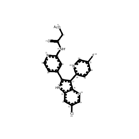 CC(=O)OCC(=O)Nc1cc(-c2[nH]c3cc(Cl)cnc3c2-c2ccc(F)cn2)ccn1